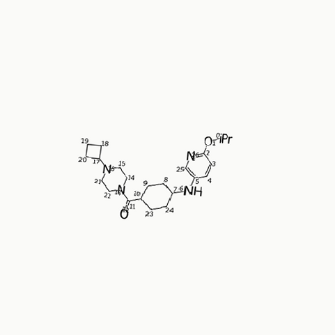 CC(C)Oc1ccc(NC2CCC(C(=O)N3CCN(C4CCC4)CC3)CC2)cn1